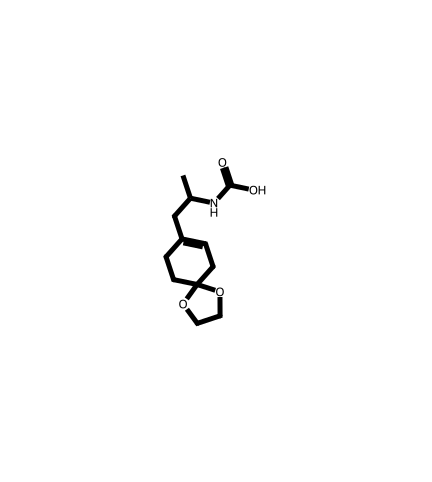 CC(CC1=CCC2(CC1)OCCO2)NC(=O)O